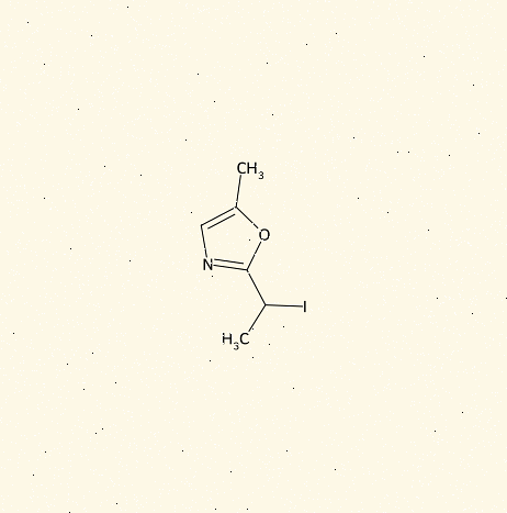 Cc1cnc(C(C)I)o1